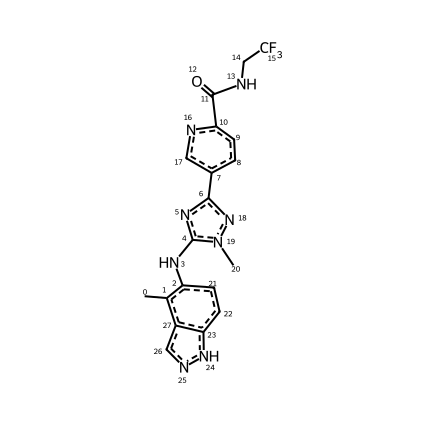 Cc1c(Nc2nc(-c3ccc(C(=O)NCC(F)(F)F)nc3)nn2C)ccc2[nH]ncc12